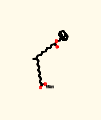 C=C(CCCCCCCCC(=O)OCCCCCCCCC)CCCCCCCC(=O)OCC12CC3CC(CC(C3)C1)C2